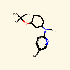 CN(c1ccc(C#N)cn1)C1CCCC(O[Si](C)(C)C(C)(C)C)C1